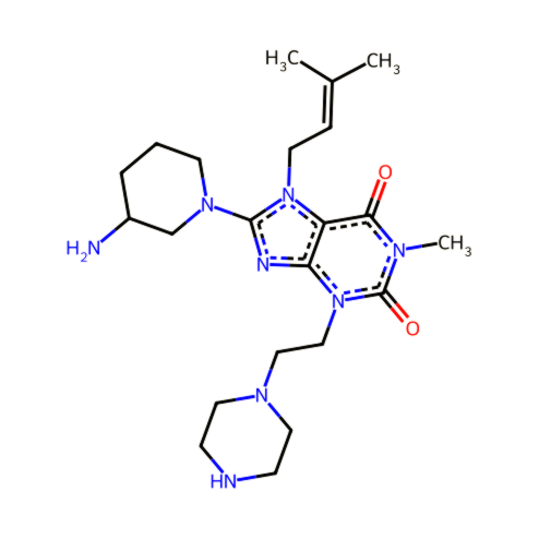 CC(C)=CCn1c(N2CCCC(N)C2)nc2c1c(=O)n(C)c(=O)n2CCN1CCNCC1